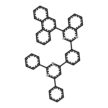 c1ccc(-c2cc(-c3cccc(-c4nc(-c5cc6ccccc6c6ccccc56)c5ccccc5n4)c3)nc(-c3ccccc3)n2)cc1